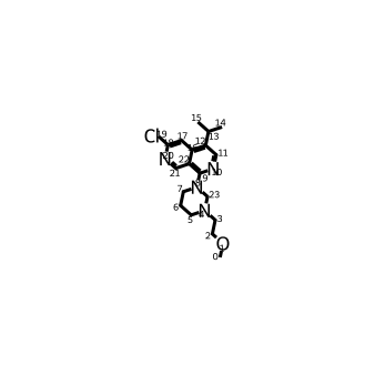 COCCN1CCCN(c2ncc(C(C)C)c3cc(Cl)ncc23)C1